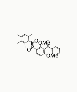 COc1ccc([PH](=O)C(=O)c2c(C)cc(C)c(C)c2C)c(OC)c1C(=O)c1ccccc1